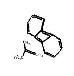 C=C(C)C(=O)O.c1ccc2c(c1)=c1ccccc1=2